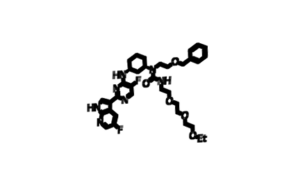 CCOCCOCCOCCNC(=O)N(CCOCc1ccccc1)[C@@H]1CCC[C@H](Nc2nc(-c3c[nH]c4ncc(F)cc34)ncc2F)C1